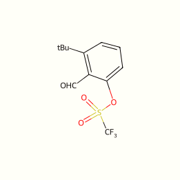 CC(C)(C)c1cccc(OS(=O)(=O)C(F)(F)F)c1C=O